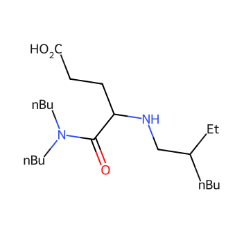 CCCCC(CC)CNC(CCC(=O)O)C(=O)N(CCCC)CCCC